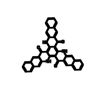 O=c1c2cc3ccccc3cc2[nH]c2c1c1[nH]c3cc4ccccc4cc3c(=O)c1c1[nH]c3cc4ccccc4cc3c(=O)c21